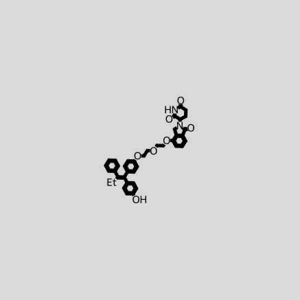 CCC(=C(c1ccc(O)cc1)c1ccc(OCCOCCOc2cccc3c2CN(C2CCC(=O)NC2=O)C3=O)cc1)c1ccccc1